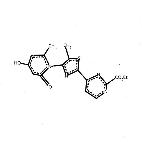 CCOC(=O)c1nccc(-c2nc(-n3c(C)cc(O)cc3=O)c(C)s2)n1